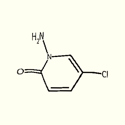 Nn1cc(Cl)ccc1=O